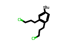 CC(C)(C)c1ccc(CCCCl)c(CCCCl)c1